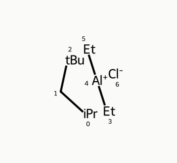 CC(C)CC(C)(C)C.C[CH2][Al+][CH2]C.[Cl-]